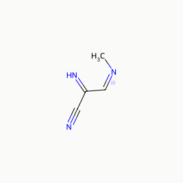 C/N=C\C(=N)C#N